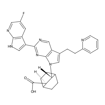 O=C(O)[C@@H]1C2CCC(CC2)[C@H]1n1cc(CCc2ccccn2)c2cnc(-c3c[nH]c4ncc(F)cc34)nc21